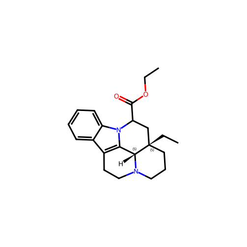 CCOC(=O)C1C[C@]2(CC)CCCN3CCc4c(n1c1ccccc41)[C@@H]32